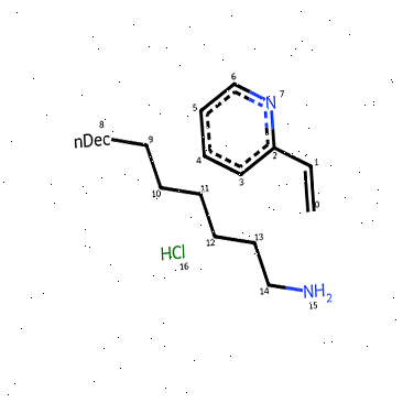 C=Cc1ccccn1.CCCCCCCCCCCCCCCCN.Cl